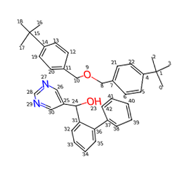 CC(C)(C)c1ccc(COCc2ccc(C(C)(C)C)cc2)cc1.OC(c1cncnc1)c1ccccc1-c1ccccc1